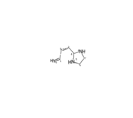 N=C/C=C\C1NCCN1